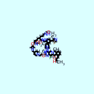 C=N/C(=C1C=NC(\C=c2/c(CC)ccc/c2=C/C(O)=C\C)=C(F)C/1=N/COCCN1CCC(CN2CC(Oc3cc(CC(CCCNC=O)C(=O)NC(C)c4ccc(-c5scnc5C)cc4)on3)C2)CC1)N1CC2CCC(C1)N2